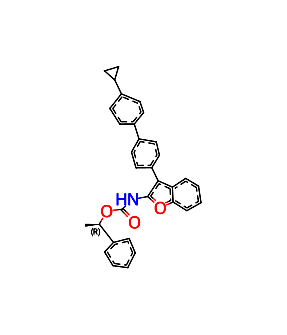 C[C@@H](OC(=O)Nc1oc2ccccc2c1-c1ccc(-c2ccc(C3CC3)cc2)cc1)c1ccccc1